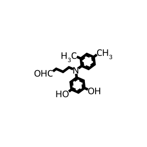 Cc1ccc(N(CCCC=O)c2cc(O)cc(O)c2)c(C)c1